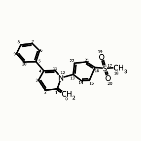 C=C1C=CC(c2ccccc2)=CN1c1ccc(S(C)(=O)=O)cc1